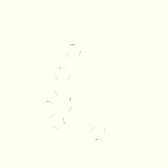 O=C(Nc1c(-c2ccccc2)noc1-c1ccc(-c2ccc(C3(C(=O)O)CC3)cc2)cc1)OCCc1cccc(C(F)(F)F)c1